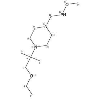 CCOCC(C)(C)N1CCN(CPOC)CC1